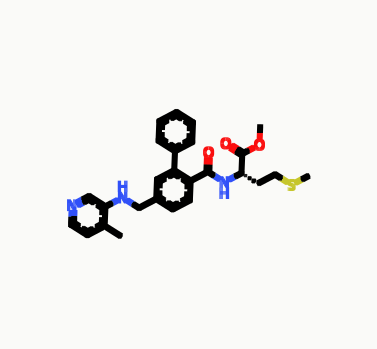 COC(=O)[C@H](CCSC)NC(=O)c1ccc(CNc2cnccc2C)cc1-c1ccccc1